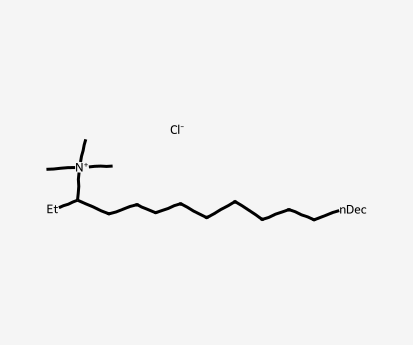 CCCCCCCCCCCCCCCCCCCC(CC)[N+](C)(C)C.[Cl-]